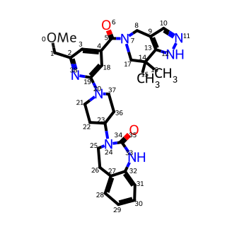 COCc1cc(C(=O)N2Cc3cn[nH]c3C(C)(C)C2)cc(N2CCC(N3CCc4ccccc4NC3=O)CC2)n1